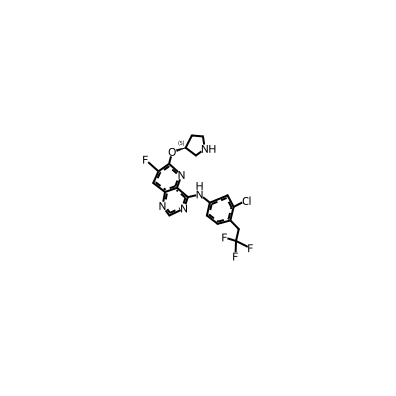 Fc1cc2ncnc(Nc3ccc(CC(F)(F)F)c(Cl)c3)c2nc1O[C@H]1CCNC1